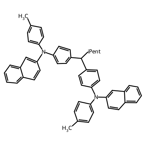 CCCC(C)C(c1ccc(N(c2ccc(C)cc2)c2ccc3ccccc3c2)cc1)c1ccc(N(c2ccc(C)cc2)c2ccc3ccccc3c2)cc1